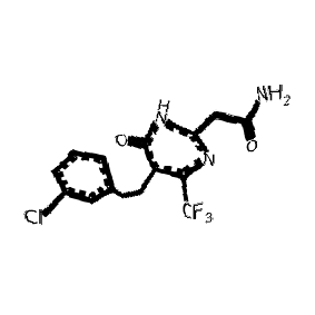 NC(=O)Cc1nc(C(F)(F)F)c(Cc2cccc(Cl)c2)c(=O)[nH]1